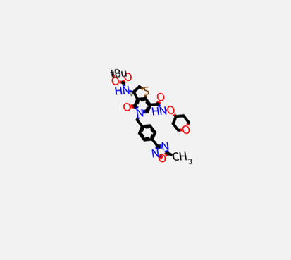 Cc1nc(-c2ccc(Cn3cc(C(=O)NOC4CCOCC4)c4c(c3=O)[C@@H](NC(=O)OC(C)(C)C)CS4)cc2)no1